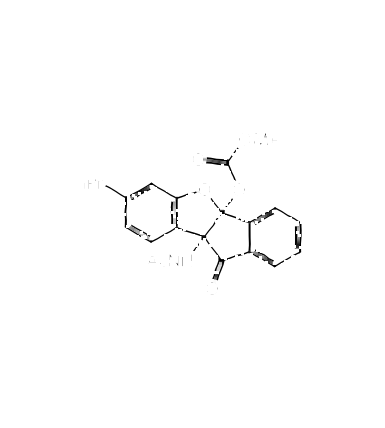 COC(=O)OC12Oc3cc(C(C)C)ccc3C1(NC(C)=O)C(=O)c1ccccc12